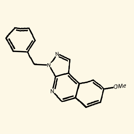 COc1ccc2cnc3c(cnn3Cc3ccccc3)c2c1